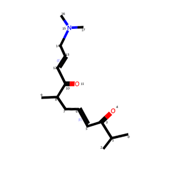 CC(C)C(=O)/C=C/CC(C)C(=O)/C=C/CN(C)C